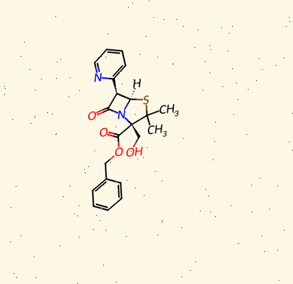 CC1(C)S[C@@H]2[C@H](c3ccccn3)C(=O)N2[C@@]1(CO)C(=O)OCc1ccccc1